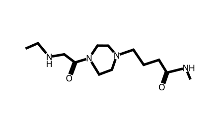 CCNCC(=O)N1CCN(CCCC(=O)NC)CC1